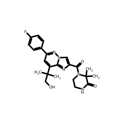 CC(C)(CO)c1cc(-c2ccc(F)cc2)nn2cc(C(=O)N3CCNC(=O)C3(C)C)nc12